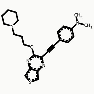 CN(C)c1ccc(C#Cc2nc3cscc3nc2OCCCN2CCCCC2)cc1